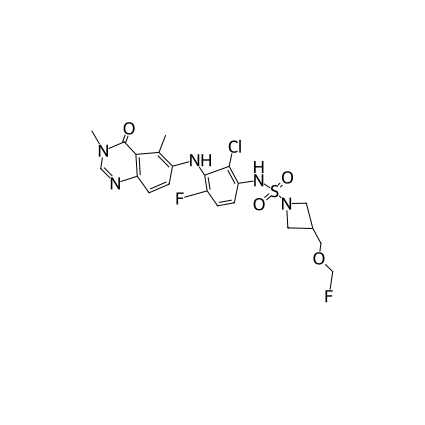 Cc1c(Nc2c(F)ccc(NS(=O)(=O)N3CC(COCF)C3)c2Cl)ccc2ncn(C)c(=O)c12